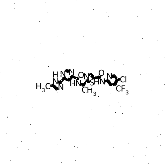 Cc1cnc(-c2cc(C(=O)NC(C)c3ncc(C(=O)Nc4cc(C(F)(F)F)c(Cl)cn4)s3)ncn2)[nH]1